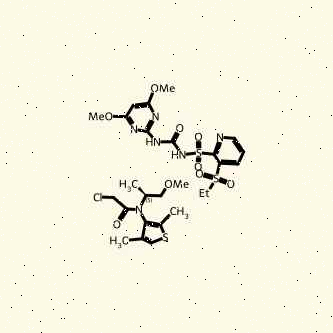 CCS(=O)(=O)c1cccnc1S(=O)(=O)NC(=O)Nc1nc(OC)cc(OC)n1.COC[C@H](C)N(C(=O)CCl)c1c(C)csc1C